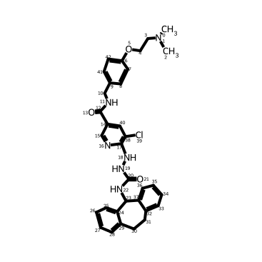 CN(C)CCOc1ccc(CNC(=O)c2cnc(NNC(=O)NC3c4ccccc4CCc4ccccc43)c(Cl)c2)cc1